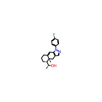 C[C@H](O)[C@H]1CCCC2=Cc3c(cnn3-c3ccc(F)cc3)C[C@@]21C